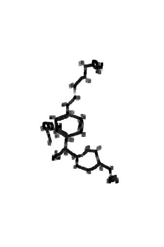 CC(=O)O.NCC1CCC(C(O)c2ccc(CCCCCO)cc2)CC1